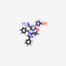 CC(C)(C)[C@H](c1nc(-c2ccccc2)cn1Cc1ccccc1)N(C[C@H](F)CN)C(=O)ON1CC[C@@H](O)C1